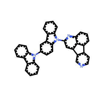 c1cc2c3c(cc(-n4c5ccccc5c5cc(-n6c7ccccc7c7ccccc76)ccc54)nc3c1)-c1cnccc1-2